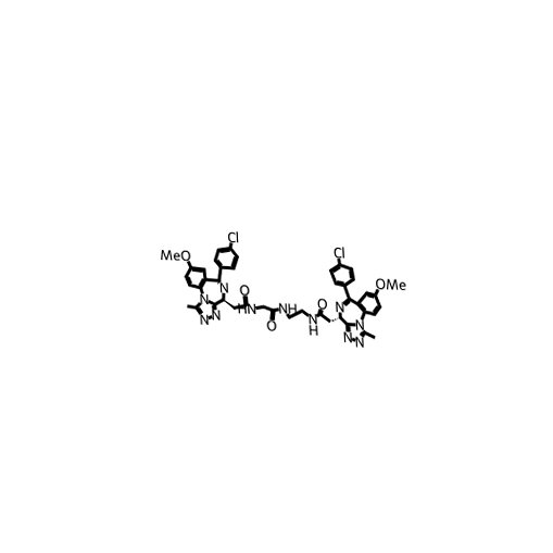 COc1ccc2c(c1)C(c1ccc(Cl)cc1)=N[C@@H](CC(=O)NCCNC(=O)CNC(=O)C[C@@H]1N=C(c3ccc(Cl)cc3)c3cc(OC)ccc3-n3c(C)nnc31)c1nnc(C)n1-2